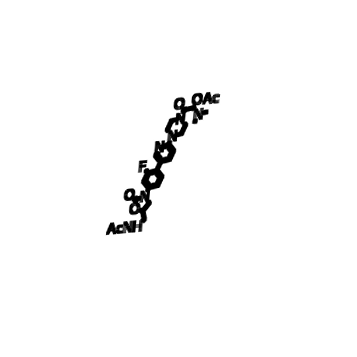 CC(=O)NCC1CN(c2ccc(-c3ccc(N4CCN(C(=O)[C@H](OC(C)=O)N(C)C)CC4)nc3)c(F)c2)C(=O)O1